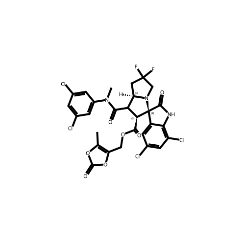 Cc1oc(=O)oc1COC(=O)[C@H]1C(C(=O)N(C)c2cc(Cl)cc(Cl)c2)[C@H]2CC(F)(F)CN2[C@]12C(=O)Nc1c(Cl)cc(Cl)cc12